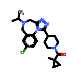 CC(N1Cc2cc(Cl)ccc2-n2c(nnc2C2CCN(C(=O)C3(C)CC3)CC2)C1)C(F)(F)F